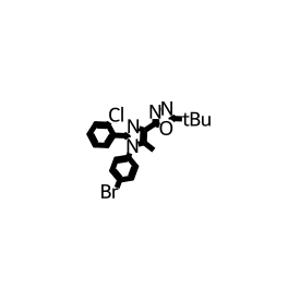 Cc1c(-c2nnc(C(C)(C)C)o2)nc(-c2ccccc2Cl)n1-c1ccc(Br)cc1